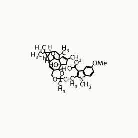 COc1ccc2c(c1)c(C(=O)O[C@H]1C(C)=C[C@]34C(=O)[C@@H](C=C5COC(C)(C)O[C@H]5[C@]13O)[C@H]1[C@@H](C[C@H]4C)C1(C)C)c(C)n2C